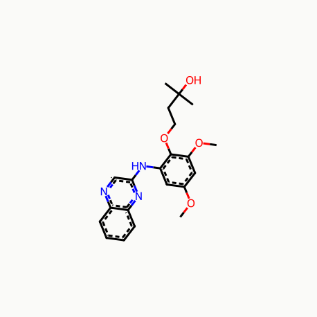 COc1cc(Nc2[c]nc3ccccc3n2)c(OCCC(C)(C)O)c(OC)c1